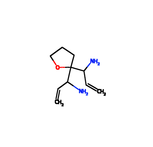 C=CC(N)C1(C(N)C=C)CCCO1